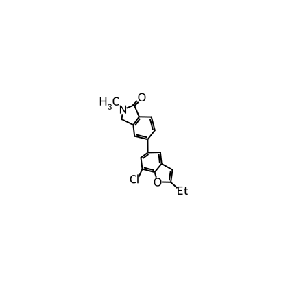 CCc1cc2cc(-c3ccc4c(c3)CN(C)C4=O)cc(Cl)c2o1